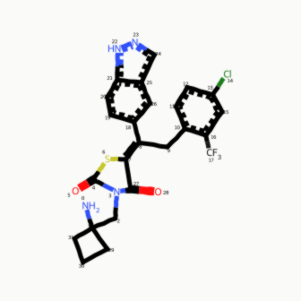 NC1(CN2C(=O)S/C(=C(/Cc3ccc(Cl)cc3C(F)(F)F)c3ccc4[nH]ncc4c3)C2=O)CCC1